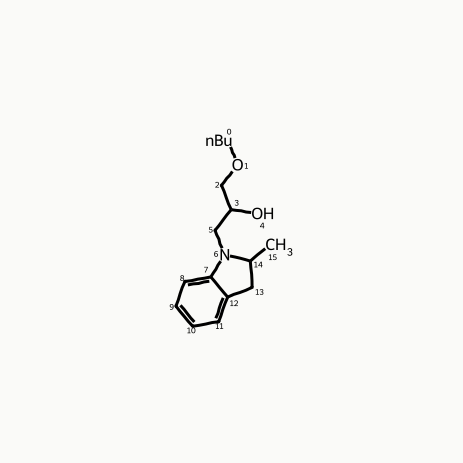 CCCCOCC(O)CN1c2ccccc2CC1C